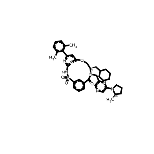 Cc1cccc(C)c1-c1cc2nc(n1)NS(=O)(=O)c1cccc(c1)C(=O)N(Cc1cncc(N3CCC[C@H]3C)n1)[C@H](CC1CCCCC1)CO2